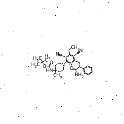 CCc1c(C#N)c(SC(C(N)=O)c2ccccc2)nc(N2CCC(C)(NC(=O)OC(C)(C)C)CC2)c1C#N